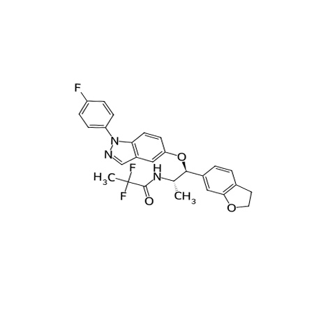 C[C@H](NC(=O)C(C)(F)F)[C@@H](Oc1ccc2c(cnn2-c2ccc(F)cc2)c1)c1ccc2c(c1)OCC2